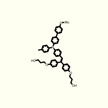 CCCCOc1ccc(-c2ccc(N(c3ccc(C)cc3)c3ccc(C=C(c4ccc(OCCCO)cc4)c4ccc(OCCCO)cc4)cc3)cc2)cc1